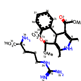 COC(=O)C1=C(C)NC(C)=C(C(=O)OC)C1c1ccccc1[N+](=O)[O-].N=C(N)NCCC[C@H](N)C(=O)O